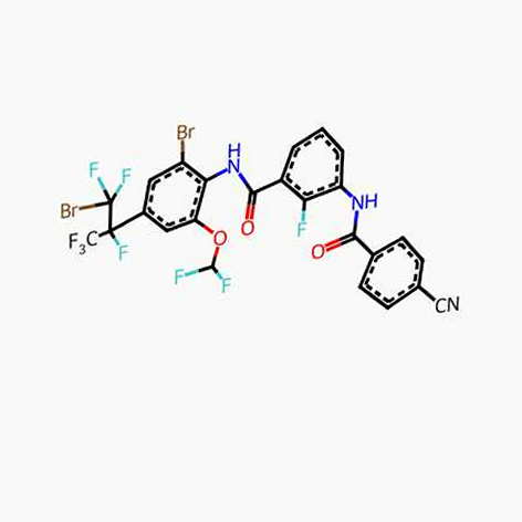 N#Cc1ccc(C(=O)Nc2cccc(C(=O)Nc3c(Br)cc(C(F)(C(F)(F)F)C(F)(F)Br)cc3OC(F)F)c2F)cc1